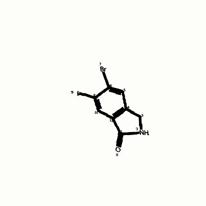 O=C1NCc2cc(Br)c(I)cc21